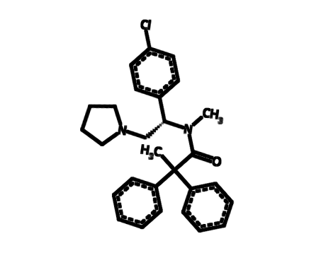 CN(C(=O)C(C)(c1ccccc1)c1ccccc1)[C@H](CN1CCCC1)c1ccc(Cl)cc1